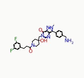 Cn1nc2c(=O)n(CC3(O)CCN(C(=O)CCc4cc(F)cc(F)c4)CC3)cnc2c1-c1ccc(CN)cc1